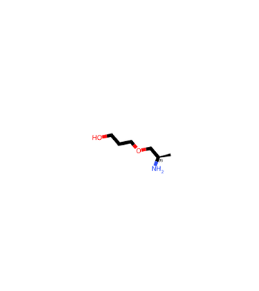 C[C@@H](N)COCCCO